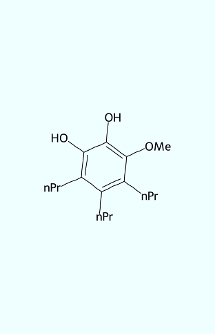 CCCc1c(O)c(O)c(OC)c(CCC)c1CCC